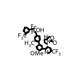 COc1ccc(-c2ccc(C(O)=PC(F)(F)c3cccc(C(F)(F)F)c3)cc2C)cc1-c1ncc(C(F)(F)F)cc1[C@@H]1CC[C@H]2COC(=O)N21